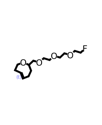 FCCOCCOCCOCC1CC/C=C/CCO1